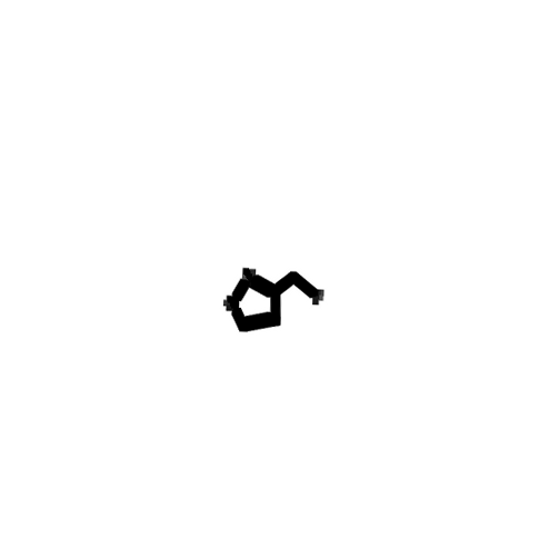 FCC1=N[N]C=C1